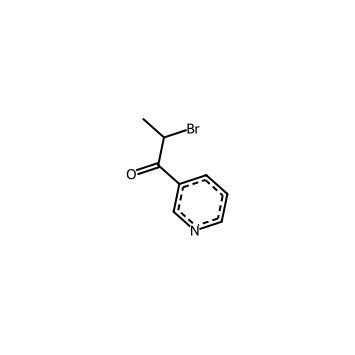 CC(Br)C(=O)c1cccnc1